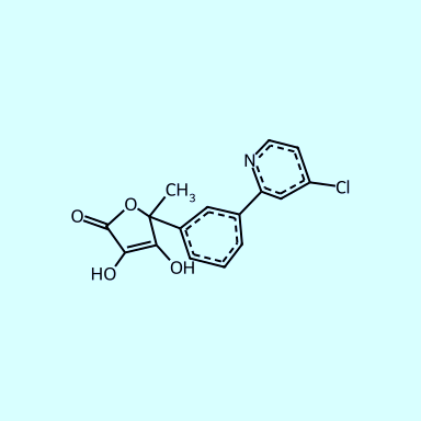 CC1(c2cccc(-c3cc(Cl)ccn3)c2)OC(=O)C(O)=C1O